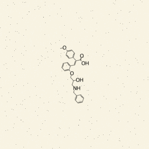 COc1ccc(/C(=C\c2ccccc2OCC(O)CNCc2ccccc2)C(=O)O)cc1